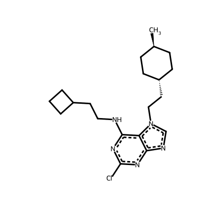 C[C@H]1CC[C@H](CCn2cnc3nc(Cl)nc(NCCC4CCC4)c32)CC1